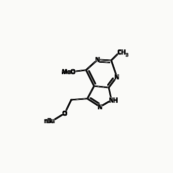 CCCCOCc1n[nH]c2nc(C)nc(OC)c12